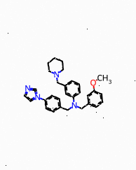 COc1cccc(CN(Cc2ccc(-n3ccnc3)cc2)c2cccc(CN3CCCCC3)c2)c1